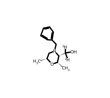 [2H]C([2H])(O)[C@@H]1[C@H](C)O[C@H](C)CN1Cc1ccccc1